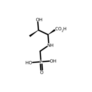 C[C@@H](O)[C@H](NCP(=O)(O)O)C(=O)O